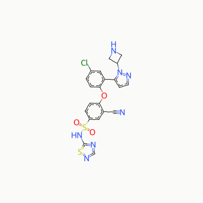 N#Cc1cc(S(=O)(=O)Nc2ncns2)ccc1Oc1ccc(Cl)cc1-c1ccnn1C1CNC1